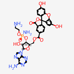 NCCOP(N)(=O)O[C@H]1[C@@H](O)[C@H](n2cnc3c(N)ncnc32)O[C@@H]1COC(=O)c1ccc2c(c1)C(=O)OC21c2ccc(O)cc2Oc2cc(O)ccc21